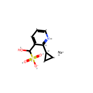 O=S(=O)([O-])C(O)c1cccnc1C1CC1.[Na+]